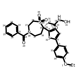 CCOc1ccc(-c2ccc([C@@]3(CC(=O)NO)CCN(C(=O)c4ccccc4)CCS3(=O)=O)s2)cc1